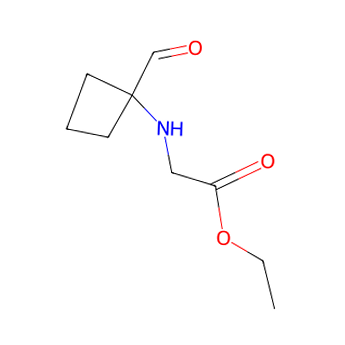 CCOC(=O)CNC1(C=O)CCC1